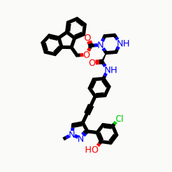 Cn1cc(C#Cc2ccc(NC(=O)[C@@H]3CNCCN3C(=O)OCC3c4ccccc4-c4ccccc43)cc2)c(-c2cc(Cl)ccc2O)n1